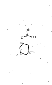 C[C@@H]1C[C@H](C)C[C@H](OP(O)O)C1